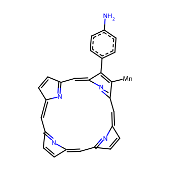 Nc1ccc(C2=[C]([Mn])C3=NC2=CC2=NC(=CC4=NC(=CC5=NC(=C3)C=C5)C=C4)C=C2)cc1